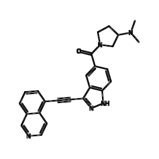 CN(C)C1CCN(C(=O)c2ccc3[nH]nc(C#Cc4cccc5cnccc45)c3c2)C1